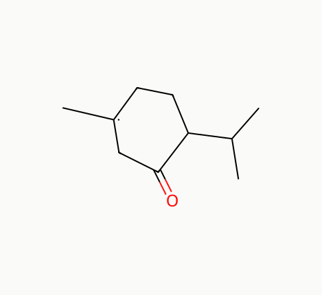 C[C]1CCC(C(C)C)C(=O)C1